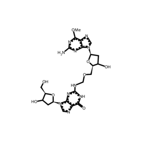 COc1nc(N)nc2c1ncn2[C@H]1CC(O)[C@@H](COCNc2nc3c(ncn3[C@H]3CC(O)[C@@H](CO)O3)c(=O)[nH]2)O1